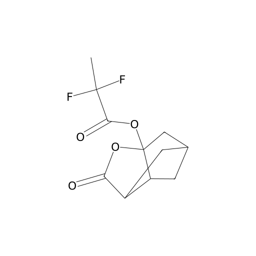 CC(F)(F)C(=O)OC12CC3CC(C(=O)O1)C2C3